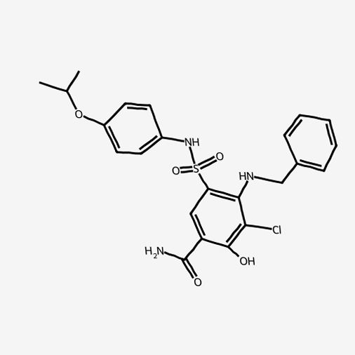 CC(C)Oc1ccc(NS(=O)(=O)c2cc(C(N)=O)c(O)c(Cl)c2NCc2ccccc2)cc1